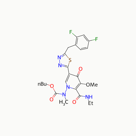 CCCCOC(=O)N(C)n1cc(-c2nnc(Cc3ccc(F)cc3F)s2)c(=O)c(OC)c1C(=O)NCC